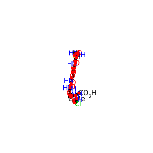 COc1ccc(OCCCNC(=O)CCCC(=O)NCCCOCCOCCOCCCNC(=O)CCCC[C@@H]2SC[C@@H]3NC(=O)N[C@@H]32)cc1C(=O)N[C@@H](CCCNC(=O)O)c1ncc(-c2cccc(Cl)c2)o1